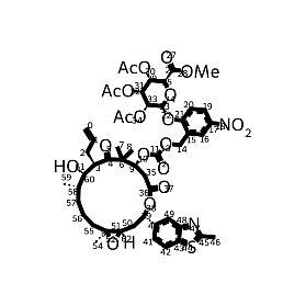 C=CC[C@H]1C(=O)C(C)(C)[C@@H](OC(=O)OCc2cc([N+](=O)[O-])ccc2O[C@@H]2O[C@H](C(=O)OC)[C@@H](OC(C)=O)[C@H](OC(C)=O)[C@H]2OC(C)=O)CC(=O)O[C@H](c2ccc3sc(C)nc3c2)C[C@H]2O[C@@]2(C)CCC[C@H](C)[C@@H]1O